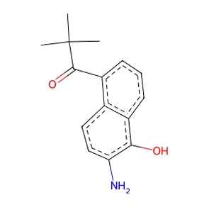 CC(C)(C)C(=O)c1cccc2c(O)c(N)ccc12